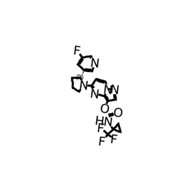 O=C(NC1(C(F)(F)F)CC1)Oc1cnn2ccc(N3CCC[C@@H]3c3cncc(F)c3)nc12